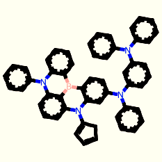 C1=CCC(N2c3cc(N(c4ccccc4)c4cccc(N(c5ccccc5)c5ccccc5)c4)ccc3B3c4ccccc4N(c4ccccc4)c4cccc2c43)=C1